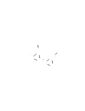 C=CCc1cc(C(C)(C)c2ccc(C#N)c(CC=C)c2)ccc1N